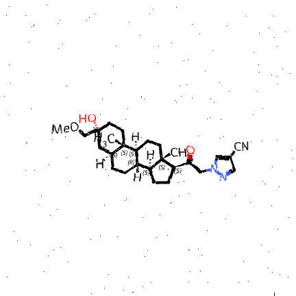 COC[C@@]1(O)CC[C@@]2(C)[C@@H](CC[C@@H]3[C@@H]2CC[C@]2(C)[C@@H](C(=O)Cn4cc(C#N)cn4)CC[C@@H]32)C1